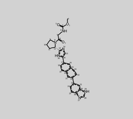 COC(=O)NCC(=O)N1CCC[C@H]1c1ncc(-c2ccc3cc(-c4ccc5nc[nH]c5c4)ccc3c2)[nH]1